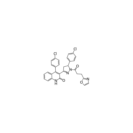 O=C(CCc1ncco1)N1N=C(c2c(-c3ccc(Cl)cc3)c3ccccc3[nH]c2=O)CC1c1ccc(Cl)cc1